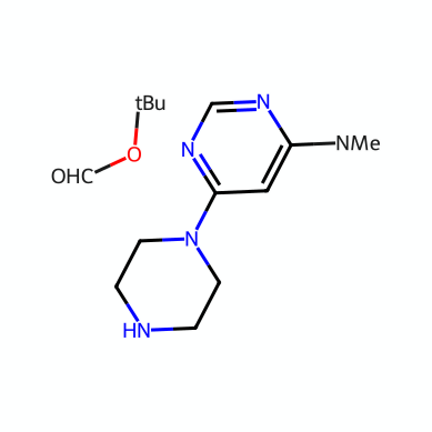 CC(C)(C)OC=O.CNc1cc(N2CCNCC2)ncn1